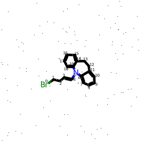 BrCCC=CN1c2ccccc2CCc2ccccc21